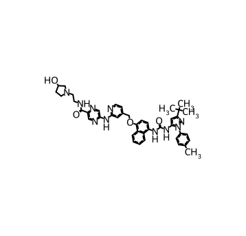 Cc1ccc(-n2nc(C(C)(C)C)cc2NC(=O)Nc2ccc(OCc3ccnc(Nc4cnc(C(=O)NCCN5CCC(O)C5)cn4)c3)c3ccccc23)cc1